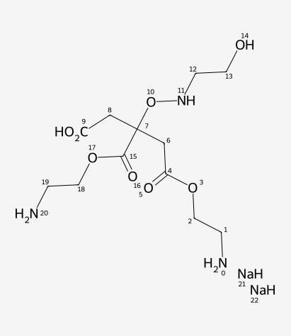 NCCOC(=O)CC(CC(=O)O)(ONCCO)C(=O)OCCN.[NaH].[NaH]